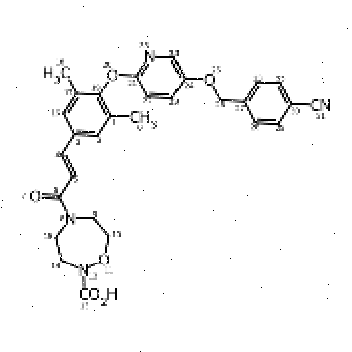 Cc1cc(/C=C/C(=O)N2CCON(C(=O)O)CC2)cc(C)c1Oc1ccc(OCc2ccc(C#N)cc2)cn1